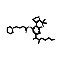 CCCCCC(C)C(C)c1cc(OC(=O)CCCN2CCCCC2)c2c(c1)OC(C)(C)C1=C2CCS1